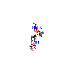 C#CCNC(=O)C(C#N)=c1sc(=CNc2cccc(NC(=O)CN3COCC3(C)C)c2)c(=O)n1CC